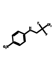 O=[N+]([O-])c1ccc(NCC(F)(F)C(F)(F)F)cc1